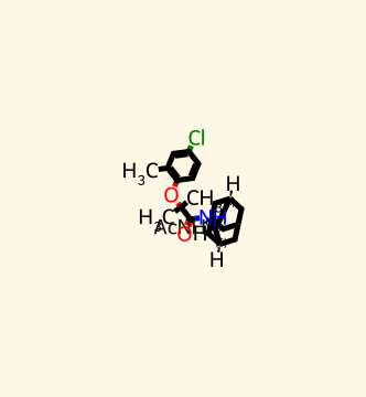 CC(=O)N[C@@]12CC3C[C@H](C1)[C@H](NC(=O)C(C)(C)Oc1ccc(Cl)cc1C)[C@@H](C3)C2